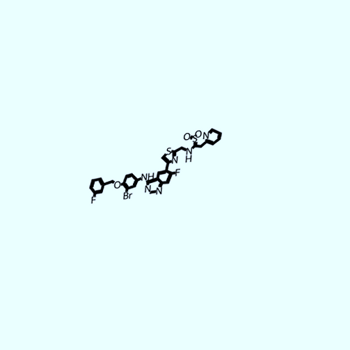 O=S(=O)=C(Cc1ccccn1)NCc1nc(-c2cc3c(Nc4ccc(OCc5cccc(F)c5)c(Br)c4)ncnc3cc2F)cs1